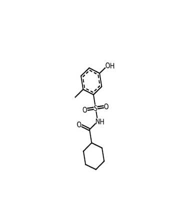 Cc1ccc(O)cc1S(=O)(=O)NC(=O)C1CCCCC1